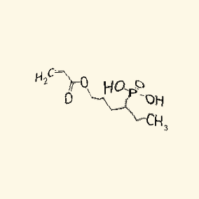 C=CC(=O)OCCCC(CC)P(=O)(O)O